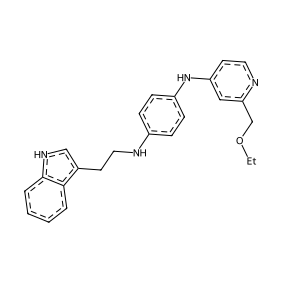 CCOCc1cc(Nc2ccc(NCCc3c[nH]c4ccccc34)cc2)ccn1